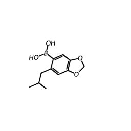 CC(C)Cc1cc2c(cc1B(O)O)OCO2